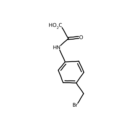 O=C(O)C(=O)Nc1ccc(CBr)cc1